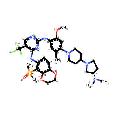 COc1cc(N2CCC(N3CC[C@H](N(C)C)C3)CC2)c(C)cc1Nc1ncc(C(F)(F)F)c(Nc2ccc3c(c2P(C)(C)=O)OCCO3)n1